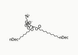 CCCCCCCCCCCCCCCCCCCCCC(=O)OC[C@H](COP(=O)([O-])OCC[N+](C)(C)C)OC(=O)CCCCCCCCCCCCCCCCC